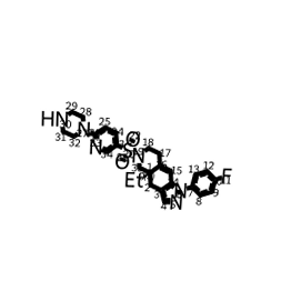 CC[C@]12Cc3cnn(-c4ccc(F)cc4)c3C=C1CCN(S(=O)(=O)c1ccc(N3CCNCC3)nc1)C2